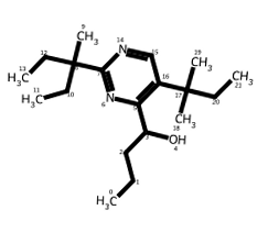 CCCC(O)c1nc(C(C)(CC)CC)ncc1C(C)(C)CC